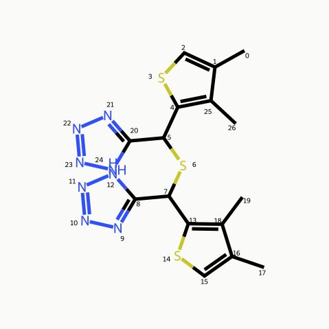 Cc1csc(C(SC(c2nnn[nH]2)c2scc(C)c2C)c2nnn[nH]2)c1C